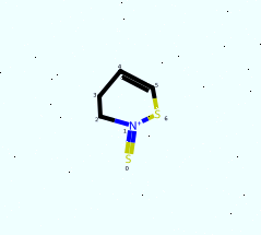 S=[N+]1CCC=CS1